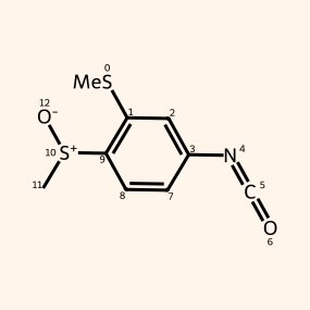 CSc1cc(N=C=O)ccc1[S+](C)[O-]